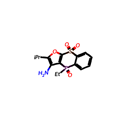 CCP1(=O)c2ccccc2S(=O)(=O)c2oc(C(C)C)c(N)c21